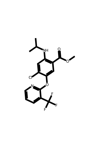 COC(=O)c1cc(Oc2ncccc2C(F)(F)F)c(Cl)cc1NC(C)C